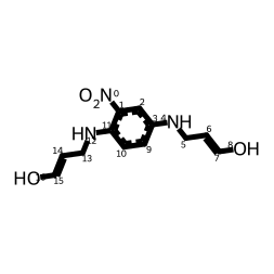 O=[N+]([O-])c1cc(NCC=CO)ccc1NCC=CO